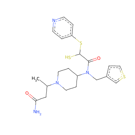 CC(CC(N)=O)N1CCC(N(Cc2ccsc2)C(=O)C(S)Sc2ccncc2)CC1